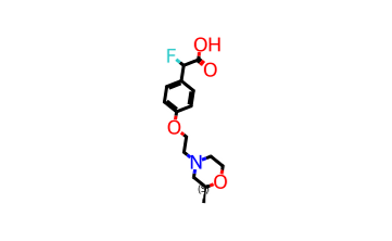 C[C@H]1CN(CCOc2ccc(C(F)C(=O)O)cc2)CCO1